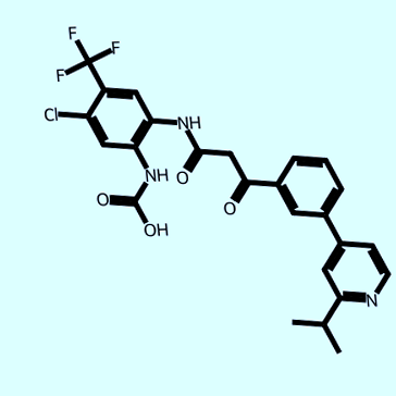 CC(C)c1cc(-c2cccc(C(=O)CC(=O)Nc3cc(C(F)(F)F)c(Cl)cc3NC(=O)O)c2)ccn1